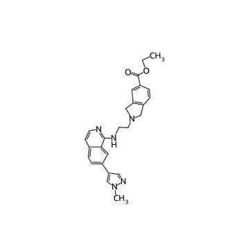 CCOC(=O)c1ccc2c(c1)CN(CCNc1nccc3ccc(-c4cnn(C)c4)cc13)C2